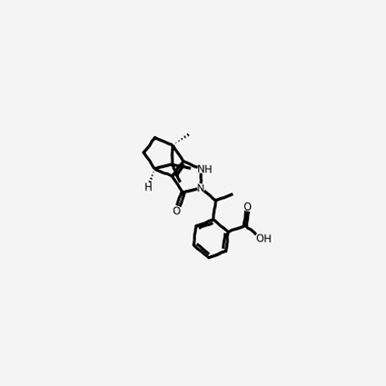 CC(c1ccccc1C(=O)O)n1[nH]c2c(c1=O)[C@H]1CC[C@]2(C)C1(C)C